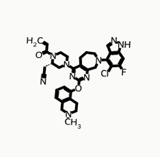 C=CC(=O)N1CCN(c2nc(Oc3cccc4c3CCN(C)C4)nc3c2CCCN(c2c(Cl)c(F)cc4[nH]ncc24)C3)C[C@@H]1CC#N